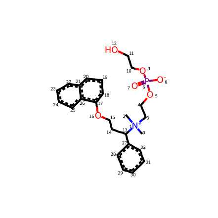 C[N+](C)(CCOP(=O)([O-])OCCO)C(CCOc1cccc2ccccc12)c1ccccc1